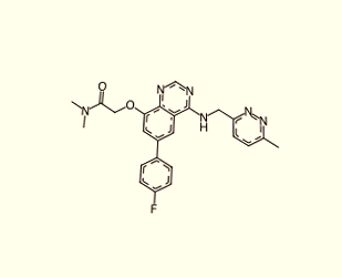 Cc1ccc(CNc2ncnc3c(OCC(=O)N(C)C)cc(-c4ccc(F)cc4)cc23)nn1